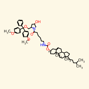 COc1ccc(C(OCC2CC(O)CN2C(=O)CCCCCNC(=O)O[C@@H]2CC[C@]3(C)C(=CCC4C5CCC(CCCC(C)C)[C@]5(C)CCC43)C2)(c2ccccc2)c2ccc(OC)cc2)cc1